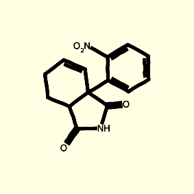 O=C1NC(=O)C2(c3ccccc3[N+](=O)[O-])C=CCCC12